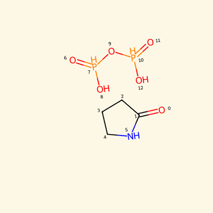 O=C1CCCN1.O=[PH](O)O[PH](=O)O